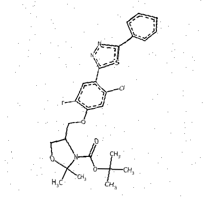 CC(C)(C)OC(=O)N1C(COc2cc(Cl)c(-c3nnc(-c4ccccc4)s3)cc2F)COC1(C)C